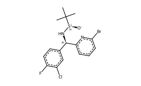 CC(C)(C)[S@@+]([O-])N[C@H](c1ccc(F)c(Cl)c1)c1cccc(Br)n1